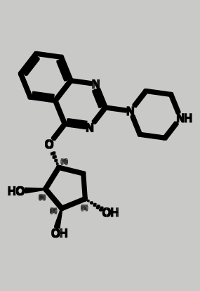 O[C@@H]1[C@H](O)[C@@H](O)C[C@H]1Oc1nc(N2CCNCC2)nc2ccccc12